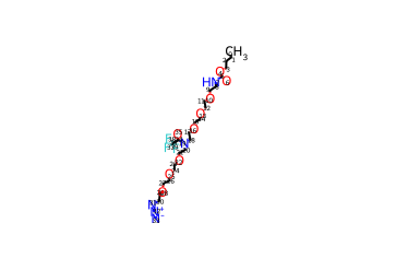 CCCCOC(=O)NCCOCCOCCOCCN(CCOCCOCCOCCN=[N+]=[N-])C(=O)C(F)(F)F